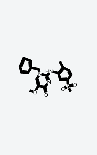 COc1cn(Cc2ccccc2)c(Nc2cc(S(C)(=O)=O)ccc2C)nc1=O